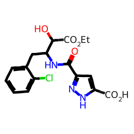 CCOC(=O)C(O)C(Cc1ccccc1Cl)NC(=O)c1cc(C(=O)O)[nH]n1